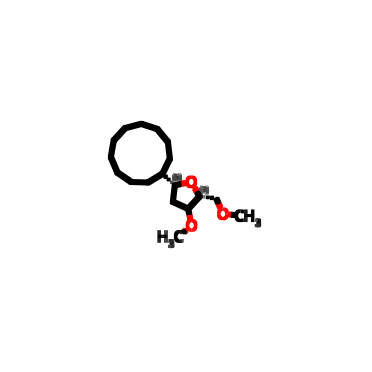 COC[C@H]1O[C@@H](C2CCCCCCCCCC2)CC1OC